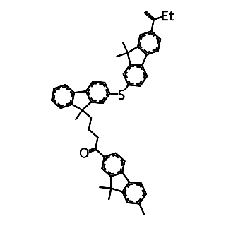 C=C(CC)c1ccc2c(c1)C(C)(C)c1cc(Sc3ccc4c(c3)C(C)(CCCC(=O)c3ccc5c(c3)C(C)(C)c3cc(C)ccc3-5)c3ccccc3-4)ccc1-2